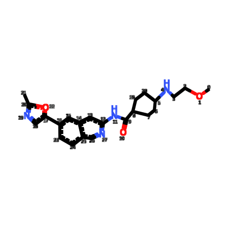 COCCNC1CCC(C(=O)Nc2cc3cc(-c4cnc(C)o4)ccc3cn2)CC1